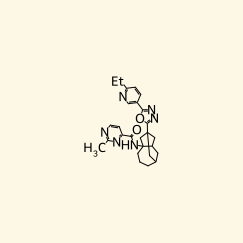 CCc1ccc(-c2nnc(C34CC5CCCC(NC(=O)c6ccnc(C)n6)(C3)C(C5)C4)o2)cn1